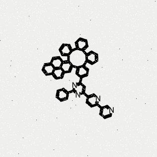 c1ccc(-c2nc(-c3ccc(-c4cccnc4)nc3)cc(-c3ccc4c5ccccc5c5ccccc5c5ccccc5c5c(cc6ccc7cccc8ccc5c6c78)c4c3)n2)cc1